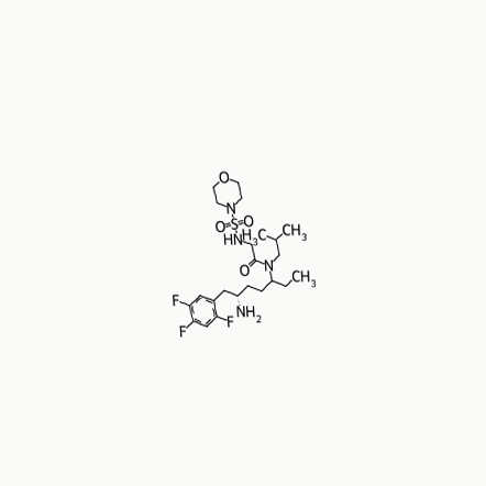 CCC(CC[C@H](N)Cc1cc(F)c(F)cc1F)N(CC(C)C)C(=O)CNS(=O)(=O)N1CCOCC1